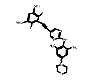 COc1cc(OC)c(F)c(C#Cc2cnc(Nc3c(C)cc(N4CCOCC4)cc3N)nc2)c1F